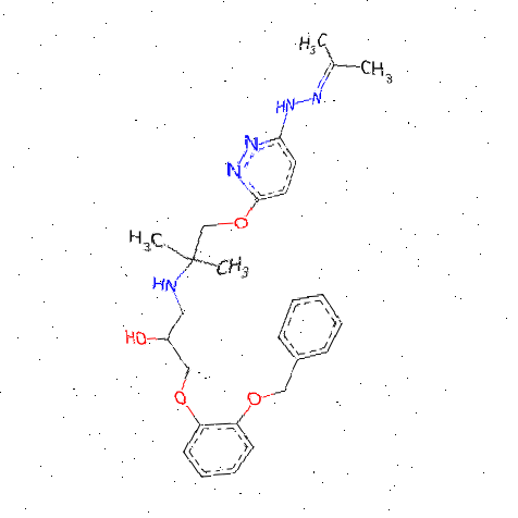 CC(C)=NNc1ccc(OCC(C)(C)NCC(O)COc2ccccc2OCc2ccccc2)nn1